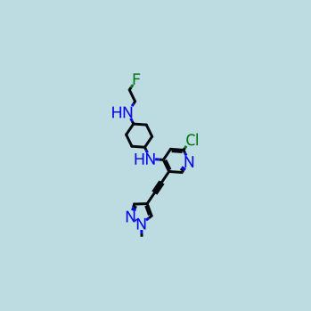 Cn1cc(C#Cc2cnc(Cl)cc2NC2CCC(NCCF)CC2)cn1